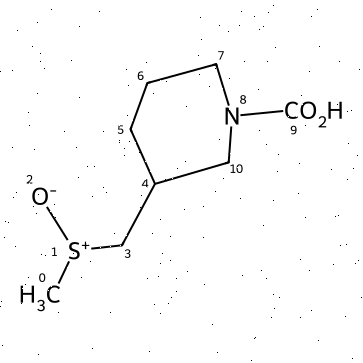 C[S+]([O-])CC1CCCN(C(=O)O)C1